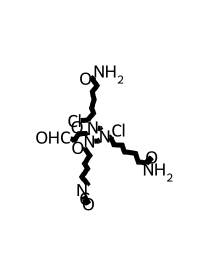 NC(=O)CCCCCC(Cl)N1CN(CCCCCCN=C=O)C(C(=O)C(=O)C=O)N(C(Cl)CCCCCC(N)=O)C1